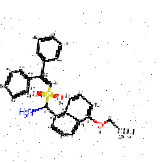 NC(c1cccc2c(OCC(=O)O)cccc12)S(=O)(=O)C=C(c1ccccc1)c1ccccc1